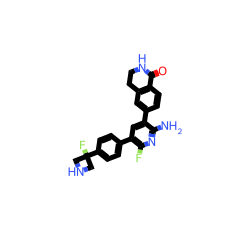 Nc1nc(F)c(-c2ccc(C3(F)CNC3)cc2)cc1-c1ccc2c(c1)CCNC2=O